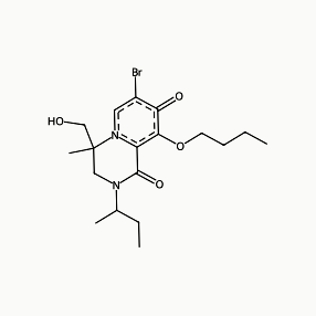 CCCCOc1c2n(cc(Br)c1=O)C(C)(CO)CN(C(C)CC)C2=O